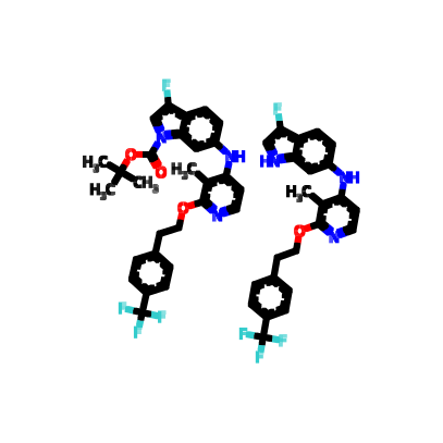 Cc1c(Nc2ccc3c(F)c[nH]c3c2)ccnc1OCCc1ccc(C(F)(F)F)cc1.Cc1c(Nc2ccc3c(F)cn(C(=O)OC(C)(C)C)c3c2)ccnc1OCCc1ccc(C(F)(F)F)cc1